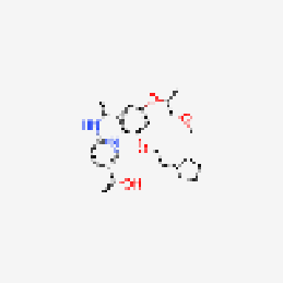 C=C(O)c1ccc(NC(=C)c2cc(OCC=C3CCCC3)cc(O[C@@H](C)COC)c2)nc1